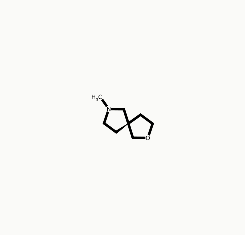 CN1CC[C@]2(CCOC2)C1